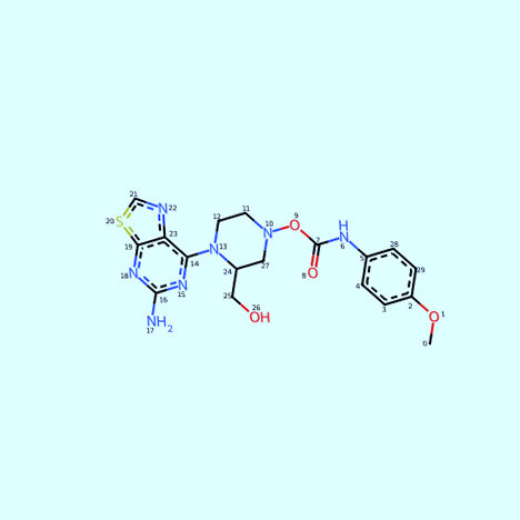 COc1ccc(NC(=O)ON2CCN(c3nc(N)nc4scnc34)C(CO)C2)cc1